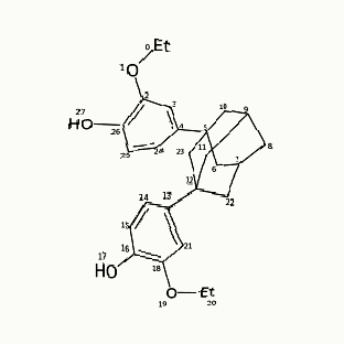 CCOc1cc(C23CC4CC(C2)CC(c2ccc(O)c(OCC)c2)(C4)C3)ccc1O